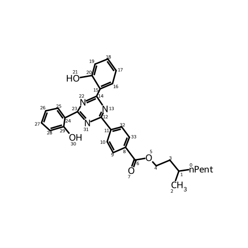 CCCCCC(C)CCOC(=O)c1ccc(-c2nc(-c3ccccc3O)nc(-c3ccccc3O)n2)cc1